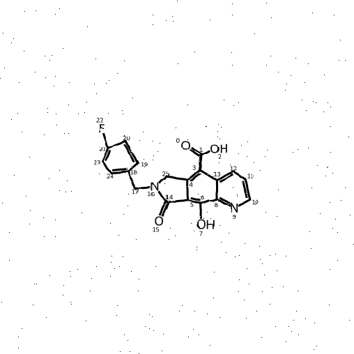 O=C(O)c1c2c(c(O)c3ncccc13)C(=O)N(Cc1ccc(F)cc1)C2